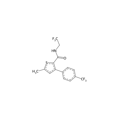 Cc1cc(-c2ccc(C(F)(F)F)cc2)c(C(=O)NCC(F)(F)F)s1